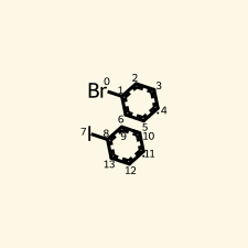 Brc1cc[c]cc1.Ic1cc[c]cc1